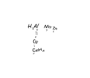 [AlH3].[Cu].[GeH4].[Mn].[Ti].[Zn]